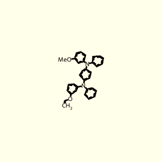 C=COc1cccc(N(c2ccccc2)c2ccc(N(c3ccccc3)c3cccc(OC)c3)cc2)c1